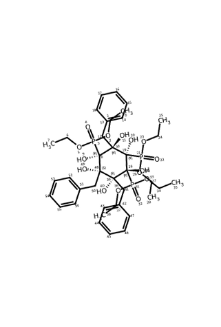 CCOP(=O)(OCC)[C@@]1(O)[C@](O)(Cc2ccccc2)[C@@](O)(P(=O)(OCC)OCC)[C@](O)(P(=O)(OCC)OCC)[C@@](O)(Cc2ccccc2)[C@@]1(O)Cc1ccccc1